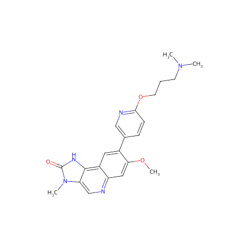 COc1cc2ncc3c([nH]c(=O)n3C)c2cc1-c1ccc(OCCCN(C)C)nc1